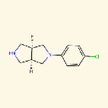 Clc1ccc(N2C[C@H]3CNC[C@H]3C2)cc1